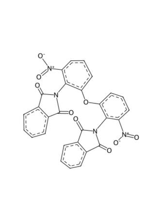 O=C1c2ccccc2C(=O)N1c1c(Oc2cccc([N+](=O)[O-])c2N2C(=O)c3ccccc3C2=O)cccc1[N+](=O)[O-]